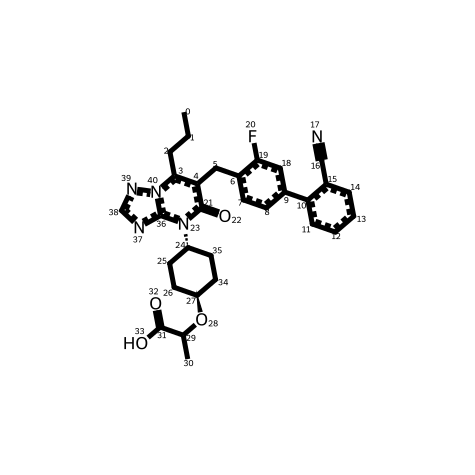 CCCc1c(Cc2ccc(-c3ccccc3C#N)cc2F)c(=O)n([C@H]2CC[C@H](OC(C)C(=O)O)CC2)c2ncnn12